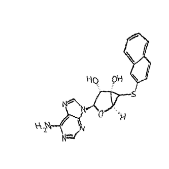 Nc1ncnc2c1ncn2[C@@H]1O[C@@H]2C(Sc3ccc4ccccc4c3)[C@]2(O)[C@H]1O